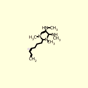 C=C/C=C\CCCC1N(C)C=C(NC)C(NC)N1C